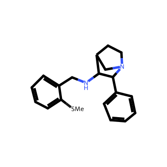 CSc1ccccc1CNC1C2CCN(C2)C1c1ccccc1